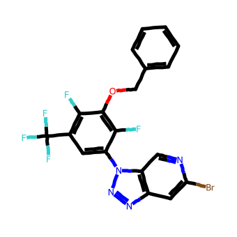 Fc1c(-n2nnc3cc(Br)ncc32)cc(C(F)(F)F)c(F)c1OCc1ccccc1